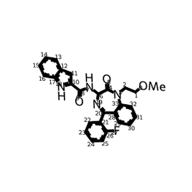 COCCN1C(=O)C(NC(=O)c2cc3ccccc3[nH]2)N=C(c2ccccc2F)c2ccccc21